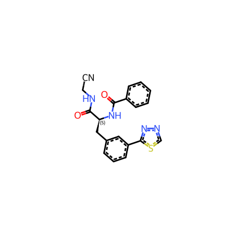 N#CCNC(=O)[C@H](Cc1cccc(-c2nncs2)c1)NC(=O)c1ccccc1